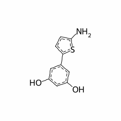 Nc1ccc(-c2cc(O)cc(O)c2)s1